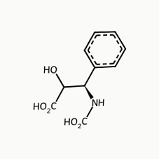 O=C(O)N[C@H](c1ccccc1)C(O)C(=O)O